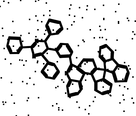 c1ccc(C2=NC(c3ccccc3)C(c3cccc(-c4nc5ccccc5c5c6c(ccc45)C4(c5ccccc5-c5ccccc54)c4ccccc4-6)c3)C(c3ccccc3)=N2)cc1